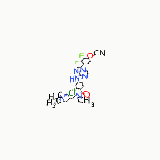 CN(CCC1CC[N+](C)(C)CC1)C(=O)c1ccc(Nc2nccn3c(-c4ccc(OCC#N)c(F)c4F)cnc23)cc1Cl